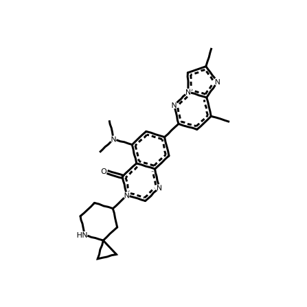 Cc1cn2nc(-c3cc(N(C)C)c4c(=O)n(C5CCNC6(CC6)C5)cnc4c3)cc(C)c2n1